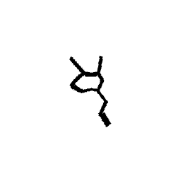 C=CCC1CCC(C)=C(C)C1